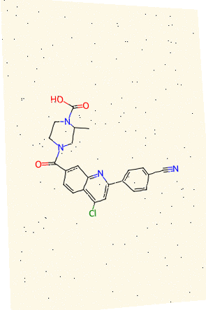 CC1CN(C(=O)c2ccc3c(Cl)cc(-c4ccc(C#N)cc4)nc3c2)CCN1C(=O)O